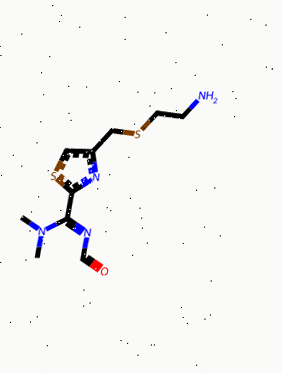 CN(C)C(=NC=O)c1nc(CSCCN)cs1